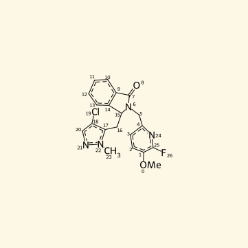 COc1ccc(CN2C(=O)c3ccccc3C2Cc2c(Cl)cnn2C)nc1F